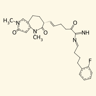 CN1C(=O)[C@@H](/C=C/CCC(=O)C(=N)/N=C/CCCc2ccccc2F)CCc2cn(C)c(=O)cc21